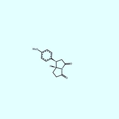 COc1ccc([C@H]2CC(=O)N3C(=O)CC[C@H]23)cc1